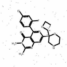 Cc1nc2cc([C@]3([C@H]4CCO4)CNCCO3)nc(-c3ccc(Cl)cc3F)c2c(=O)n1C